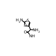 [NH]C(=O)C(N)c1csc(N)n1